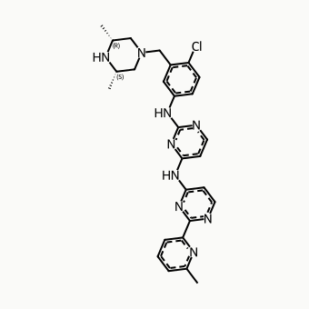 Cc1cccc(-c2nccc(Nc3ccnc(Nc4ccc(Cl)c(CN5C[C@@H](C)N[C@@H](C)C5)c4)n3)n2)n1